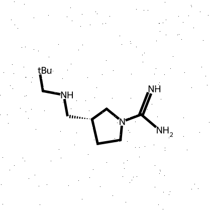 CC(C)(C)CNC[C@H]1CCN(C(=N)N)C1